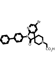 O=C(O)CN1CCC2(CC1)C(=O)N(c1ccc(-c3ccccc3)cc1)c1ncc(Br)cc12